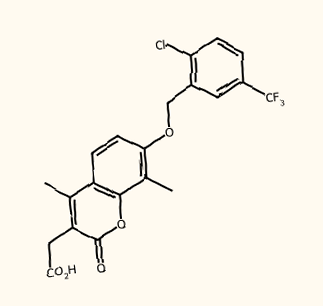 Cc1c(CC(=O)O)c(=O)oc2c(C)c(OCc3cc(C(F)(F)F)ccc3Cl)ccc12